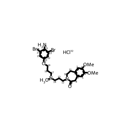 COc1cc2c(cc1OC)CC(=O)N(CCCN(C)CCCOc1cc(Br)c(N)c(Br)c1)CC2.Cl